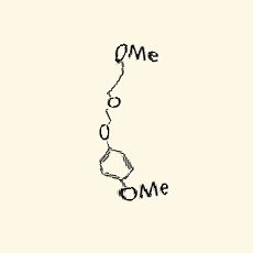 COCCOCCOc1ccc(OC)cc1